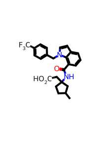 CC1CCC(CC(=O)O)(NC(=O)c2cccc3ccn(Cc4ccc(C(F)(F)F)cc4)c23)C1